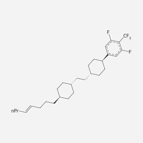 CCC/C=C/CCC[C@H]1CC[C@H](CC[C@H]2CC[C@H](c3cc(F)c(C(F)(F)F)c(F)c3)CC2)CC1